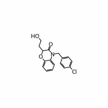 O=C1C(CCO)Oc2ccccc2N1Cc1ccc(Cl)cc1